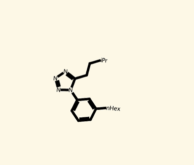 [CH2]CCCCCc1cccc(-n2nnnc2CCC(C)C)c1